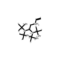 C=C[SiH2]CC(N(C(C)(C)C(C)C)C(C)(C)C(C)C)N(C(C)(C)C(C)C)C(C)(C)C(C)C